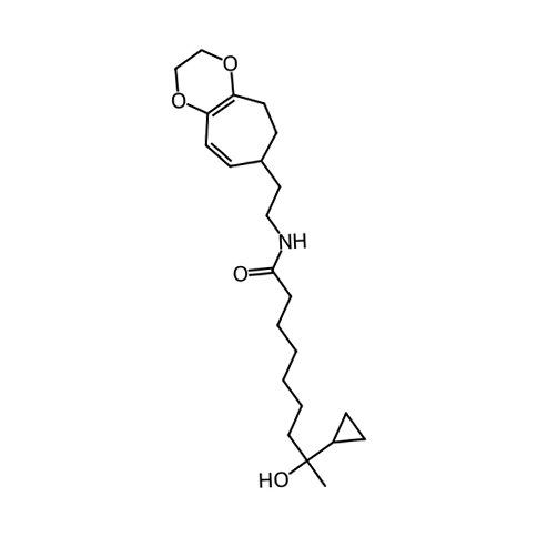 CC(O)(CCCCCCC(=O)NCCC1C=CC2=C(CC1)OCCO2)C1CC1